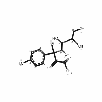 CC(=S)C(=O)C(O)(c1ccc(C)cc1)C(O)C(O)C(O)CO